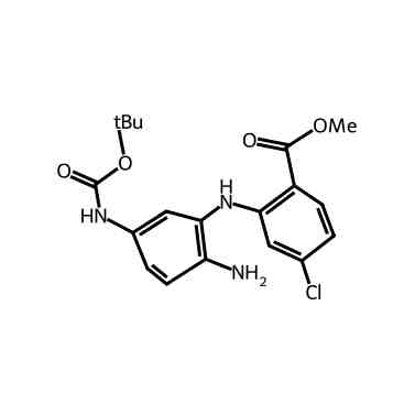 COC(=O)c1ccc(Cl)cc1Nc1cc(NC(=O)OC(C)(C)C)ccc1N